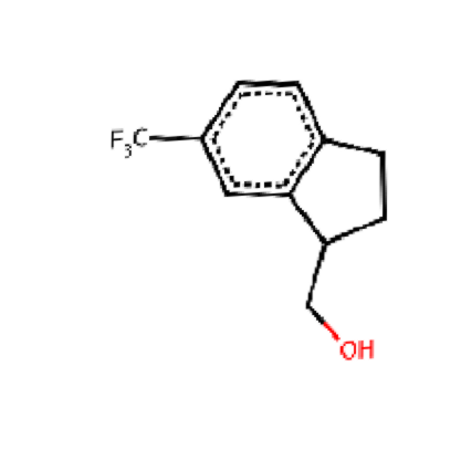 OCC1CCc2ccc(C(F)(F)F)cc21